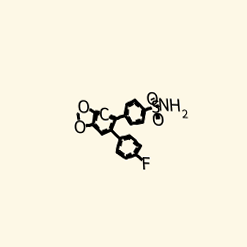 NS(=O)(=O)c1ccc(-c2cc3c(cc2-c2ccc(F)cc2)OCO3)cc1